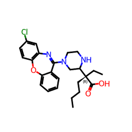 CCCC[C@@](CC)(C(=O)O)C1CN(C2=Nc3cc(Cl)ccc3Oc3ccccc32)CCN1